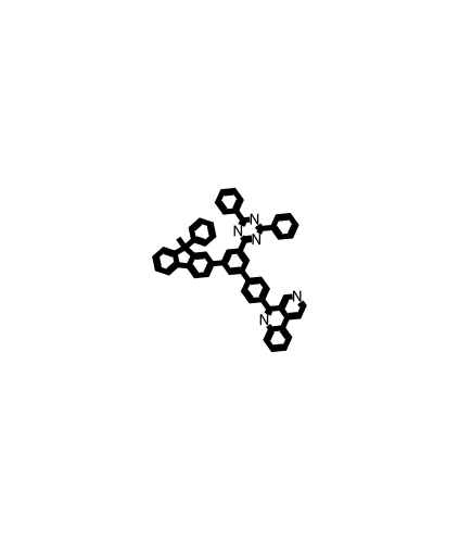 CC1(c2ccccc2)c2ccccc2-c2ccc(-c3cc(-c4ccc(-c5nc6ccccc6c6ccncc56)cc4)cc(-c4nc(-c5ccccc5)nc(-c5ccccc5)n4)c3)cc21